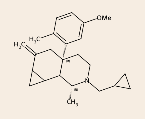 C=C1C[C@@]2(c3cc(OC)ccc3C)CCN(CC3CC3)[C@H](C)C2C2CC12